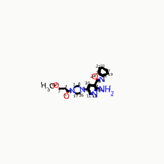 COCCC(=O)N1CCN(c2cnc(N)c(-c3nc4ccccc4o3)c2)CC1